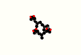 c1ccc(-c2cc(-c3ccc(-c4ccc5c(c4)-c4ccccc4C54c5ccccc5Sc5c(-c6ncccc6-c6nc(-c7ccccc7)cc(-c7ccccc7)n6)cccc54)cc3)nc(-c3ccc(-c4cccc5c4Sc4ccccc4C54c5ccccc5-c5cc(-c6ccc(-c7cc(-c8ccccc8)nc(-c8ccc(-c9cccc%10c9Sc9ccccc9C%109c%10ccccc%10-c%10ccccc%109)s8)n7)cc6)ccc54)o3)n2)cc1